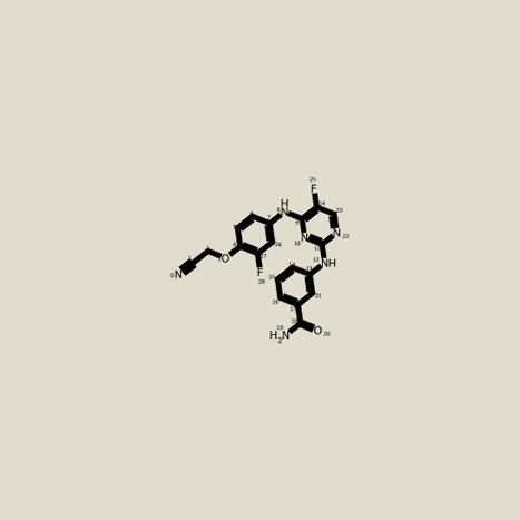 N#CCOc1ccc(Nc2nc(Nc3cccc(C(N)=O)c3)ncc2F)cc1F